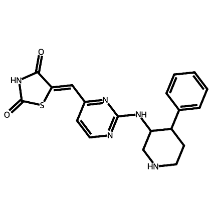 O=C1NC(=O)/C(=C/c2ccnc(NC3CNCCC3c3ccccc3)n2)S1